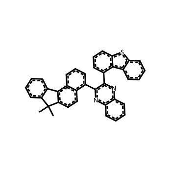 CC1(C)c2ccccc2-c2c1ccc1c(-c3nc4ccccc4nc3-c3cccc4sc5ccccc5c34)cccc21